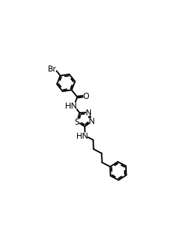 O=C(Nc1nnc(NCCCCc2ccccc2)s1)c1ccc(Br)cc1